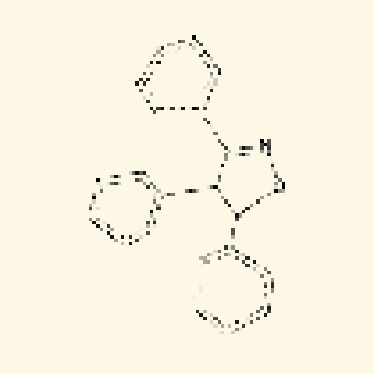 c1ccc(C2=NOC(c3ccccc3)C2c2ccccc2)cc1